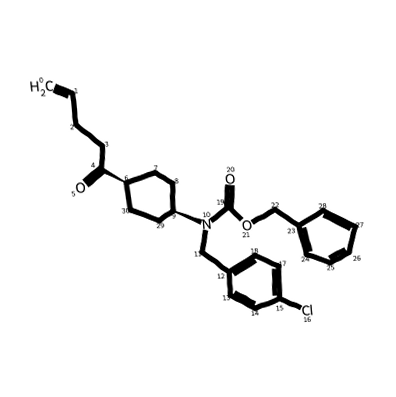 C=CCCC(=O)[C@H]1CC[C@@H](N(Cc2ccc(Cl)cc2)C(=O)OCc2ccccc2)CC1